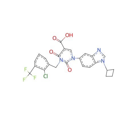 O=C(O)c1cn(-c2ccc3c(c2)ncn3C2CCC2)c(=O)n(Cc2cccc(C(F)(F)F)c2Cl)c1=O